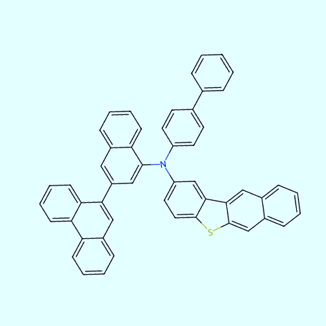 c1ccc(-c2ccc(N(c3ccc4sc5cc6ccccc6cc5c4c3)c3cc(-c4cc5ccccc5c5ccccc45)cc4ccccc34)cc2)cc1